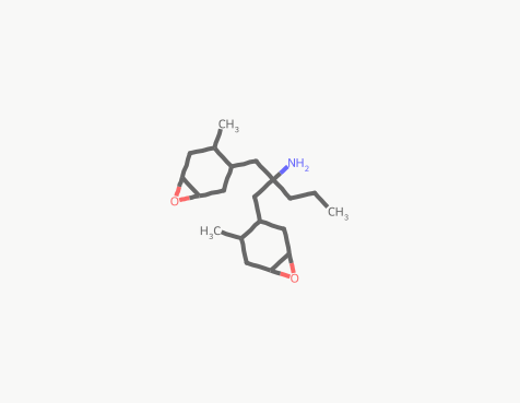 CCCC(N)(CC1CC2OC2CC1C)CC1CC2OC2CC1C